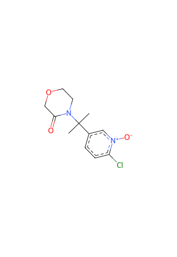 CC(C)(c1ccc(Cl)[n+]([O-])c1)N1CCOCC1=O